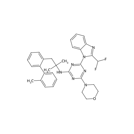 Cc1ccccc1-c1ccccc1CC(C)(C)Nc1nc(N2CCOCC2)nc(-n2c(C(F)F)nc3ccccc32)n1